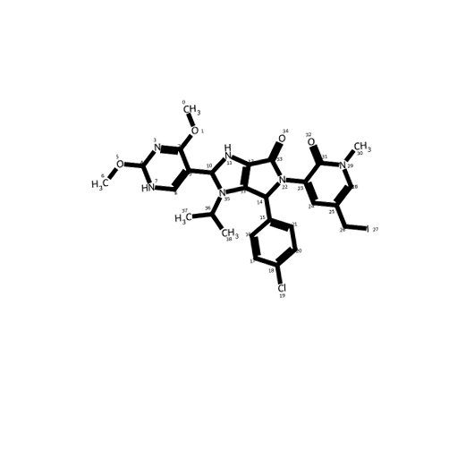 COC1=NC(OC)NC=C1C1NC2=C(C(c3ccc(Cl)cc3)N(c3cc(CI)cn(C)c3=O)C2=O)N1C(C)C